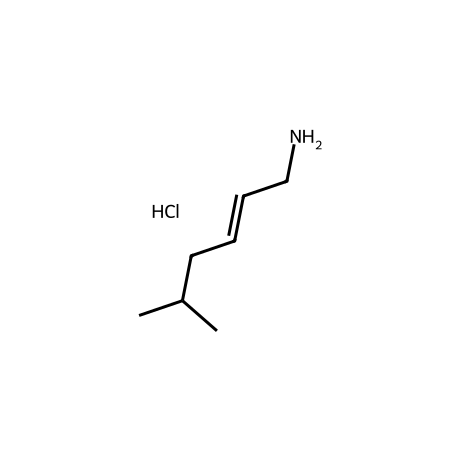 CC(C)CC=CCN.Cl